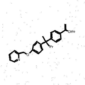 C=C(OC)c1ccc(C(C)(c2ccc(OCc3ccccn3)cc2)C(C)C)cc1